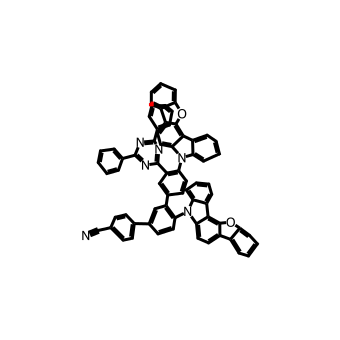 N#Cc1ccc(-c2ccc(-n3c4ccccc4c4c5oc6ccccc6c5ccc43)c(-c3ccc(-n4c5ccccc5c5c6oc7ccccc7c6ccc54)c(-c4nc(-c5ccccc5)nc(-c5ccccc5)n4)c3)c2)cc1